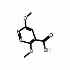 COc1cc(C(=O)O)c(OC)nn1